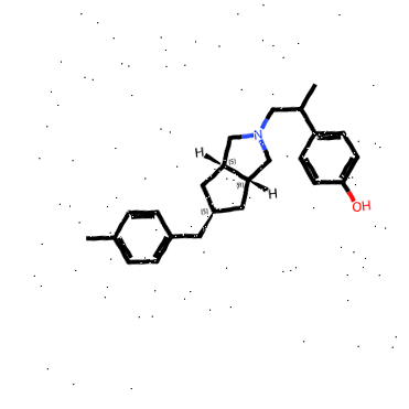 Cc1ccc(C[C@H]2C[C@@H]3CN(CC(C)c4ccc(O)cc4)C[C@@H]3C2)cc1